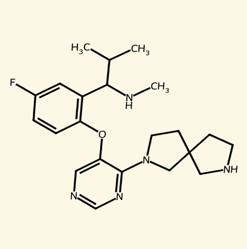 CNC(c1cc(F)ccc1Oc1cncnc1N1CCC2(CCNC2)C1)C(C)C